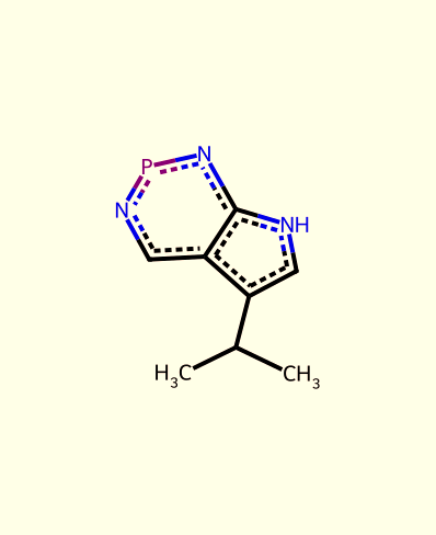 CC(C)c1c[nH]c2npncc12